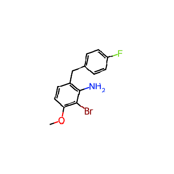 COc1ccc(Cc2ccc(F)cc2)c(N)c1Br